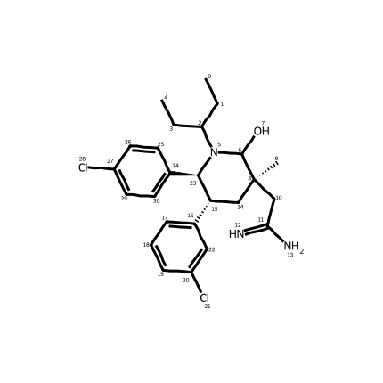 CCC(CC)N1C(O)[C@@](C)(CC(=N)N)C[C@H](c2cccc(Cl)c2)[C@H]1c1ccc(Cl)cc1